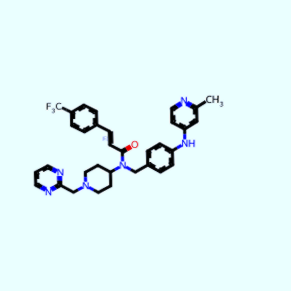 Cc1cc(Nc2ccc(CN(C(=O)/C=C/c3ccc(C(F)(F)F)cc3)C3CCN(Cc4ncccn4)CC3)cc2)ccn1